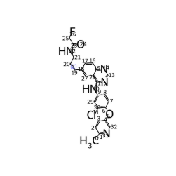 Cc1ccc(Oc2ccc(Nc3ncnc4ccc(/C=C\CNC(=O)CF)cc34)cc2Cl)cn1